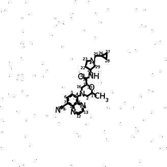 CC1CN(c2ccc(C#N)c3nccnc23)CC(C(=O)NC2CCN(CC3CC3)C2)O1